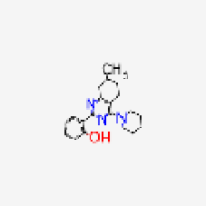 CC1CCc2c(nc(-c3ccccc3O)nc2N2CCCCC2)C1